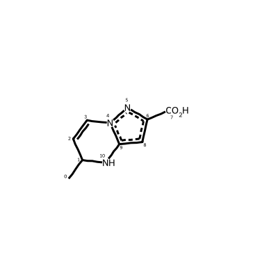 CC1C=Cn2nc(C(=O)O)cc2N1